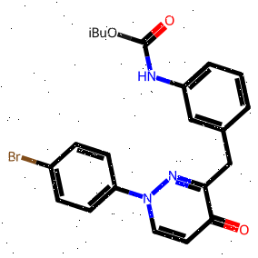 CC(C)COC(=O)Nc1cccc(Cc2nn(-c3ccc(Br)cc3)ccc2=O)c1